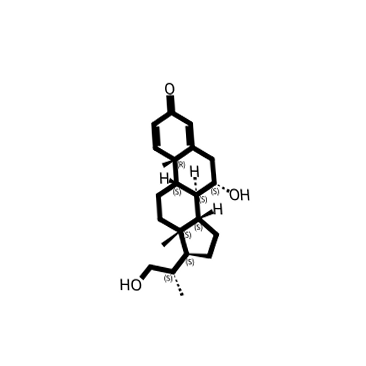 C[C@H](CO)[C@@H]1CC[C@H]2[C@@H]3[C@@H](O)CC4=CC(=O)C=C[C@@]4(C)[C@H]3CC[C@]21C